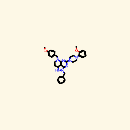 COc1ccc(CN2CCC3NN(Cc4ccccc4)c4nc(N5CCN(c6ccccc6OC)CC5)nc2c43)cc1